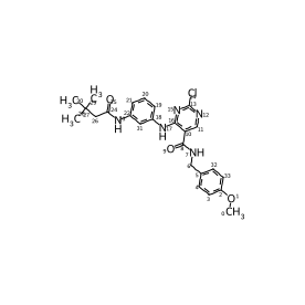 COc1ccc(CNC(=O)c2cnc(Cl)nc2Nc2cccc(NC(=O)CC(C)(C)C)c2)cc1